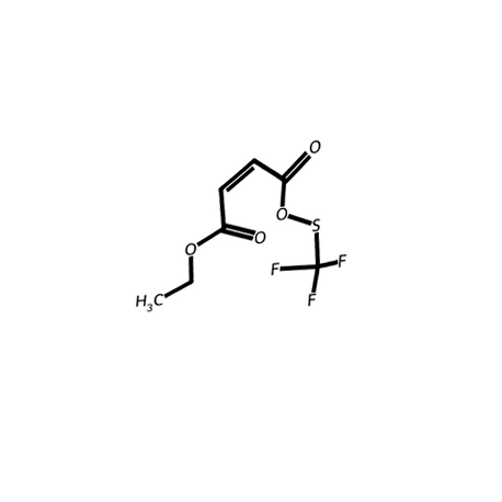 CCOC(=O)/C=C\C(=O)OSC(F)(F)F